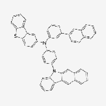 c1cc(-c2ccc3ccccc3c2)cc(N(c2ccc(-n3c4ccccc4c4cc5ccccc5cc43)cc2)c2ccc3sc4ccccc4c3c2)c1